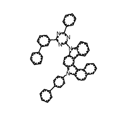 c1ccc(-c2ccc(-n3c4ccc5ccccc5c4c4c5c6ccccc6n(-c6nc(-c7ccccc7)nc(-c7cccc(-c8ccccc8)c7)n6)c5ccc43)cc2)cc1